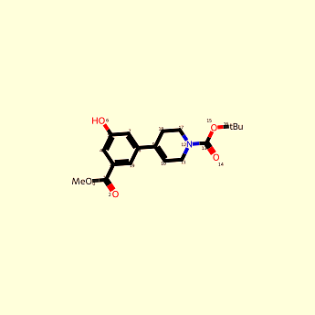 COC(=O)c1cc(O)cc(C2=CCN(C(=O)OC(C)(C)C)CC2)c1